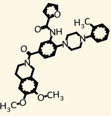 COc1cc2c(cc1OC)CN(C(=O)c1ccc(N3CCN(c4ccccc4C)CC3)c(NC(=O)c3ccco3)c1)CC2